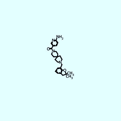 CC1(C)Cc2cccc(CN3CCC4(CC3)CCN(C(=O)c3ccc(N)nc3)CC4)c2O1